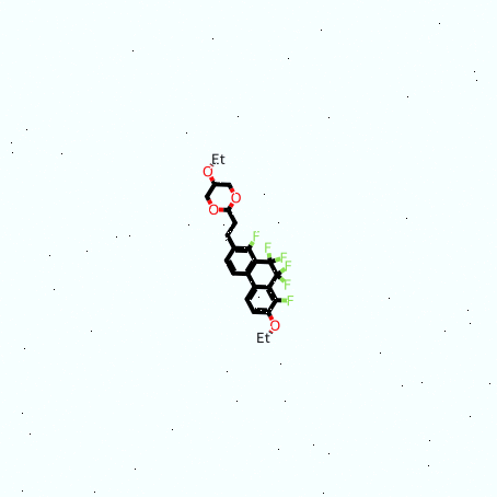 CCOc1ccc2c(c1F)C(F)(F)C(F)(F)c1c-2ccc(CCC2OCC(OCC)CO2)c1F